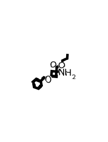 CCCOC(=O)C1(N)CC(OCc2ccccc2)C1